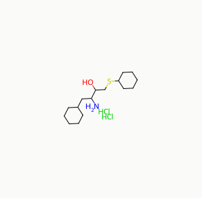 Cl.Cl.NC(CC1CCCCC1)C(O)CSC1CCCCC1